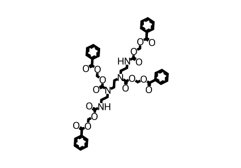 O=C(NCCN(CCN(CCNC(=O)OCOC(=O)c1ccccc1)C(=O)OCOC(=O)c1ccccc1)C(=O)OCOC(=O)c1ccccc1)OCOC(=O)c1ccccc1